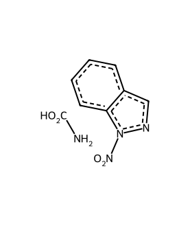 NC(=O)O.O=[N+]([O-])n1ncc2ccccc21